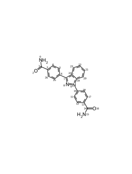 NC(=O)c1ccc(-c2nn(-c3ccc(C(N)=O)cc3)c3ccccc23)cc1